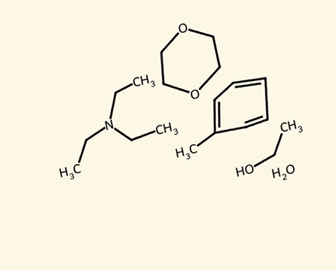 C1COCCO1.CCN(CC)CC.CCO.Cc1ccccc1.O